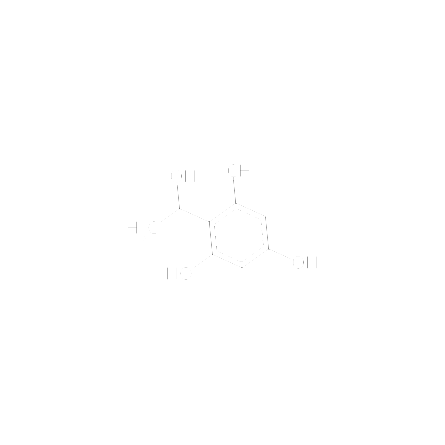 Cc1cc(O)cc(O)c1C(C)O